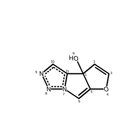 OC12C=COC1=Cn1nncc12